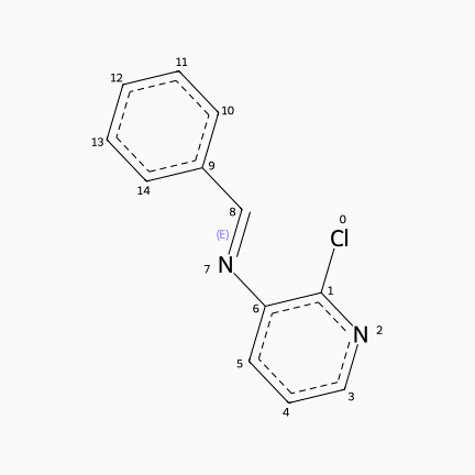 Clc1ncccc1/N=C/c1ccccc1